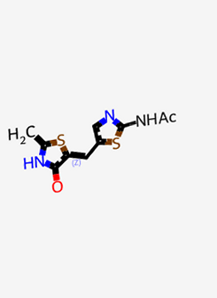 C=c1[nH]c(=O)/c(=C/c2cnc(NC(C)=O)s2)s1